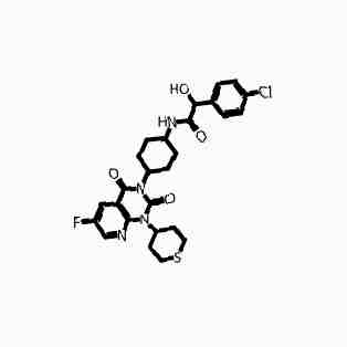 O=C(NC1CCC(n2c(=O)c3cc(F)cnc3n(C3CCSCC3)c2=O)CC1)C(O)c1ccc(Cl)cc1